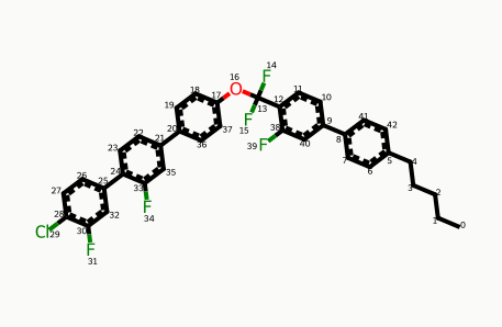 CCCCCc1ccc(-c2ccc(C(F)(F)Oc3ccc(-c4ccc(-c5ccc(Cl)c(F)c5)c(F)c4)cc3)c(F)c2)cc1